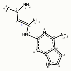 CN(N)/C=C(\N)Nc1nc(N)c2cc[nH]c2n1